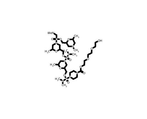 CNCP(=O)(OCC1CN(C)CC(C)O1)N1CC(C)OC(COP(=O)(N(C)C)N2CC(C)OC(COP(=O)(N(C)C)N3CCN(C(=O)OCCOCCOCCO)CC3)C2)C1